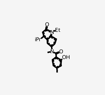 CCn1c(=O)cc(C(C)C)c2cc(N(C)C(=O)c3ccc(C)cc3O)ccc21